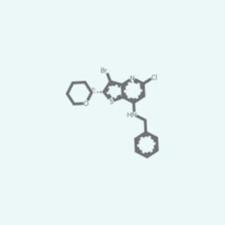 Clc1cc(NCc2ccccc2)c2sc([C@H]3CCCCO3)c(Br)c2n1